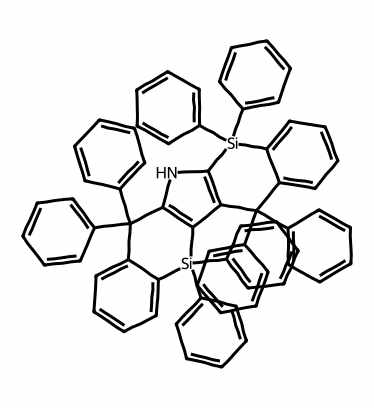 c1ccc(C2(c3ccccc3)c3ccccc3[Si](c3ccccc3)(c3ccccc3)c3c2[nH]c2c3C(c3ccccc3)(c3ccccc3)c3ccccc3[Si]2(c2ccccc2)c2ccccc2)cc1